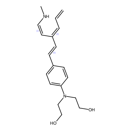 C=C/C=C(\C=C/NC)/C=C/c1ccc(N(CCO)CCO)cc1